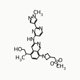 CC(CO)c1ccc(N2CC(CS(C)(=O)=O)C2)c2cnc(Nc3ccnc(-c4cnn(C)c4)n3)cc12